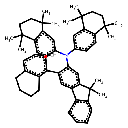 Cc1ccc2c(c1-c1cc3c(cc1N(c1ccc4c(c1)C(C)(C)CCC4(C)C)c1ccc4c(c1)C(C)(C)CCC4(C)C)C(C)(C)c1ccccc1-3)CCCC2